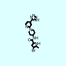 Cc1[nH]c(C(=O)NC2CCN(c3cc(-c4nnn[nH]4)ccn3)CC2)cc1Br